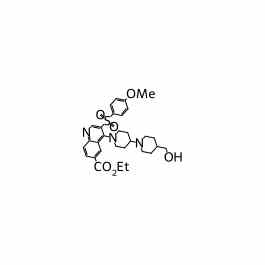 CCOC(=O)c1ccc2ncc(S(=O)(=O)c3ccc(OC)cc3)c(N3CCC(N4CCC(CO)CC4)CC3)c2c1